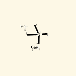 C[N+](C)(C)C.[GeH4].[OH-]